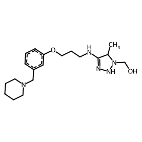 CC1C(NCCCOc2cccc(CN3CCCCC3)c2)=NNN1CO